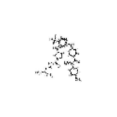 CC(C)CCNC(=O)[C@H]1CC[C@@H](Nc2nc(Nc3ccc(C(=O)N(C)C4CCN(C)CC4)cc3)ncc2C(F)(F)F)C1